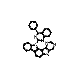 c1ccc(-c2nc(-n3c4ccccc4c4ccc5sc6cncnc6c5c43)nc3ccccc23)cc1